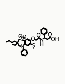 CCCCC1(CC)CN(c2ccccc2)c2cc(SC)c(OCC(=O)NC(CC(=O)O)c3ccccc3)cc2S(=O)(=O)C1